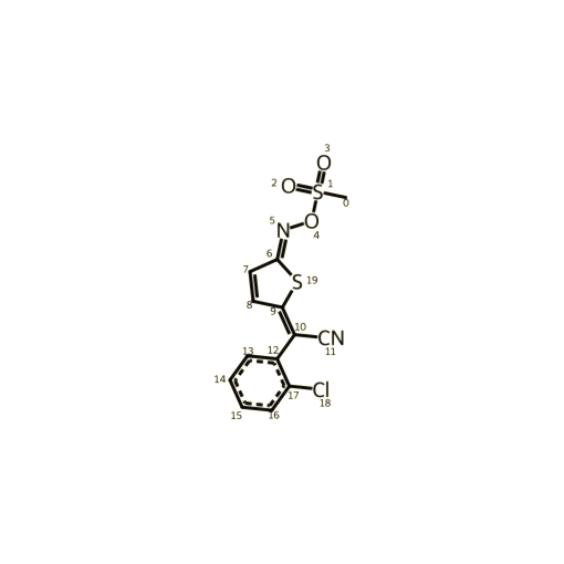 CS(=O)(=O)ON=C1C=CC(=C(C#N)c2ccccc2Cl)S1